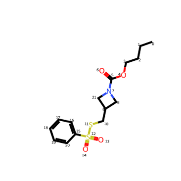 CCCCOC(=O)N1CC(CSS(=O)(=O)c2ccccc2)C1